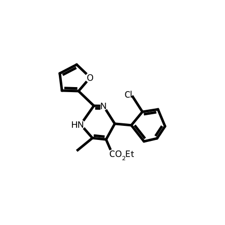 CCOC(=O)C1=C(C)NC(c2ccco2)=NC1c1ccccc1Cl